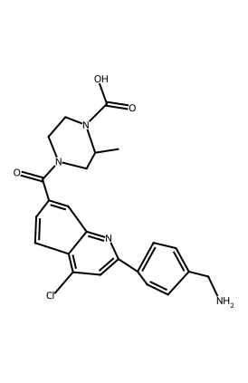 CC1CN(C(=O)c2ccc3c(Cl)cc(-c4ccc(CN)cc4)nc3c2)CCN1C(=O)O